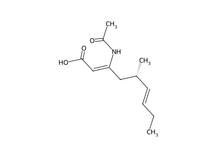 CC/C=C/[C@@H](C)C/C(=C/C(=O)O)NC(C)=O